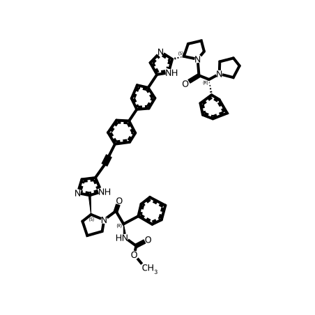 COC(=O)N[C@@H](C(=O)N1CCC[C@H]1c1ncc(C#Cc2ccc(-c3ccc(-c4cnc([C@@H]5CCCN5C(=O)[C@@H](c5ccccc5)N5CCCC5)[nH]4)cc3)cc2)[nH]1)c1ccccc1